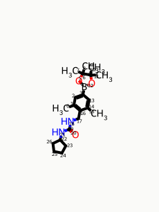 Cc1cc(B2OC(C)(C)C(C)(C)O2)cc(C)c1CNC(=O)NC1CCCC1